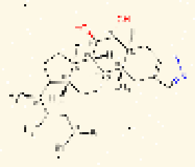 CC[C@H](CC(C)[C@@H](C)C1CC[C@H]2[C@@H]3[C@@H](O)[C@H](O)[C@H]4Cc5[nH]ncc5C[C@]4(C)[C@H]3CC[C@]12C)C(C)C